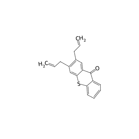 C=CCc1cc2sc3ccccc3c(=O)c2cc1CC=C